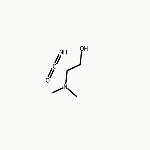 CN(C)CCO.N=C=O